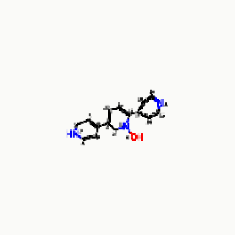 ON1CC(C2=CCNC=C2)=CC=C1c1ccncc1